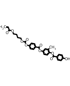 C=CC(=O)OCCCCOC(=O)Oc1ccc(C(=O)Oc2ccc(OC(=O)c3ccc(O)cc3)c(C)c2)cc1